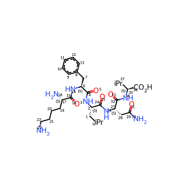 CC(C)C[C@H](NC(=O)[C@H](Cc1ccccc1)NC(=O)[C@@H](N)CCCCN)C(=O)N[C@@H](CC(N)=O)C(=O)N[C@H](C(=O)O)C(C)C